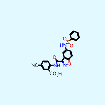 N#Cc1ccc(NC(=O)c2noc3ccc(NS(=O)(=O)c4ccccc4)cc23)c(C(=O)O)c1